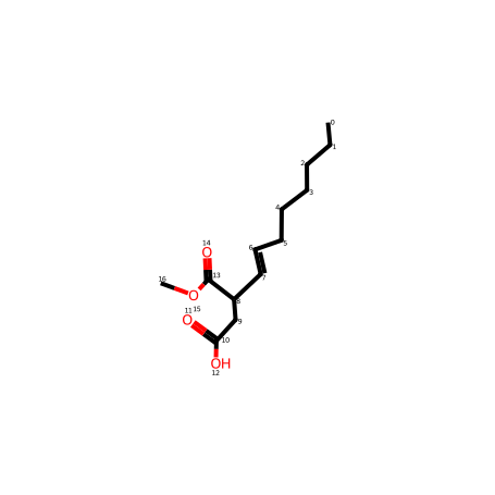 CCCCCCC=CC(CC(=O)O)C(=O)OC